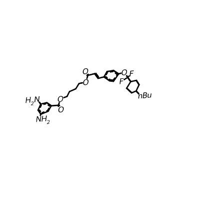 CCCCC1CCC(C(F)(F)Oc2ccc(C=CC(=O)OCCCCOC(=O)c3cc(N)cc(N)c3)cc2)CC1